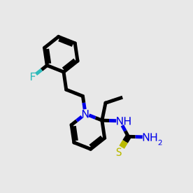 CCC1(NC(N)=S)C=CC=CN1CCc1ccccc1F